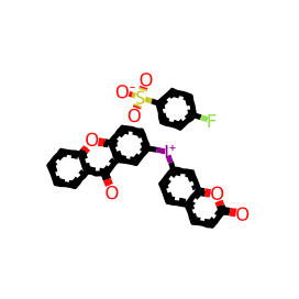 O=S(=O)([O-])c1ccc(F)cc1.O=c1ccc2ccc([I+]c3ccc4oc5ccccc5c(=O)c4c3)cc2o1